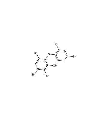 Oc1c(Br)c(Br)cc(Br)c1Oc1ccc(Br)cc1Br